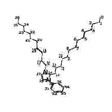 CCCCCCCCCCCCCCC1N(CCCCCCCCCCC)C=CN1c1ccccc1